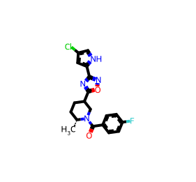 C[C@@H]1CCC(c2nc(-c3cc(Cl)c[nH]3)no2)CN1C(=O)c1ccc(F)cc1